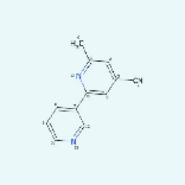 Cc1cc(C#N)cc(-c2cccnc2)n1